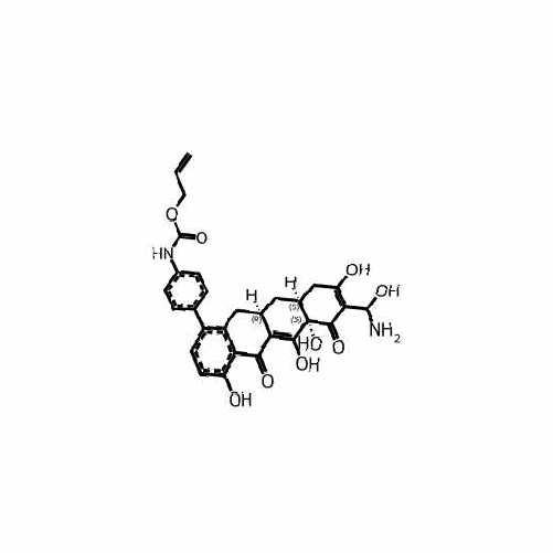 C=CCOC(=O)Nc1ccc(-c2ccc(O)c3c2C[C@H]2C[C@H]4CC(O)=C(C(N)O)C(=O)[C@@]4(O)C(O)=C2C3=O)cc1